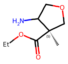 CCOC(=O)[C@]1(C)COCC1N